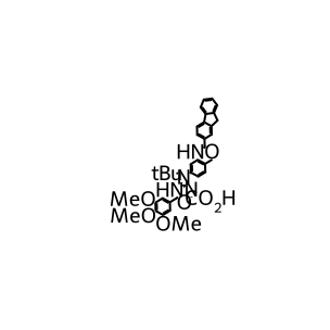 COc1cc(C(=O)NC(=NC(=O)O)N(c2ccc(C)c(NC(=O)c3ccc4c(c3)Cc3ccccc3-4)c2)C(C)(C)C)cc(OC)c1OC